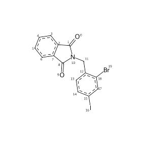 O=C1c2ccccc2C(=O)N1Cc1ccc(I)cc1Br